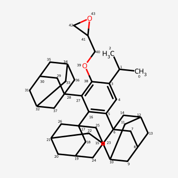 CC(C)c1cc(C23CC4CC(CC(C4)C2)C3)c(C23CC4CC(CC(C4)C2)C3)c(C23CC4CC(CC(C4)C2)C3)c1OCC1CO1